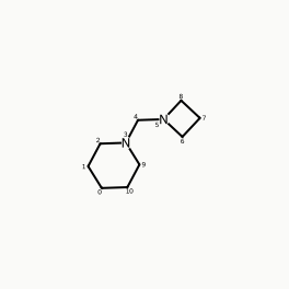 C1CCN(CN2CCC2)CC1